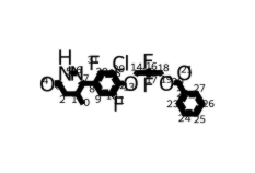 CC1CC(=O)NN=C1c1cc(F)c(OCC(F)(F)COC(=O)c2ccccc2)c(Cl)c1F